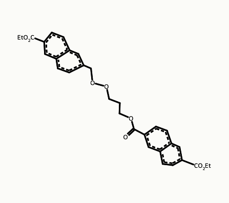 CCOC(=O)c1ccc2cc(COOCCCOC(=O)c3ccc4cc(C(=O)OCC)ccc4c3)ccc2c1